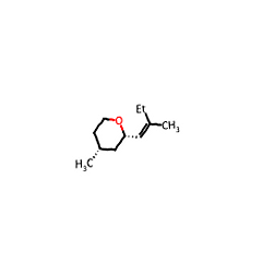 CC/C(C)=C\[C@@H]1C[C@H](C)CCO1